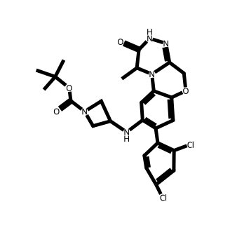 CC1C(=O)NN=C2COc3cc(-c4ccc(Cl)cc4Cl)c(NC4CN(C(=O)OC(C)(C)C)C4)cc3N21